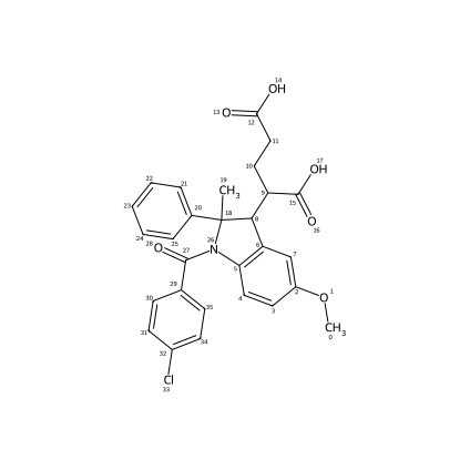 COc1ccc2c(c1)C(C(CCC(=O)O)C(=O)O)C(C)(c1ccccc1)N2C(=O)c1ccc(Cl)cc1